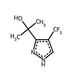 CC(C)(O)c1n[nH]cc1C(F)(F)F